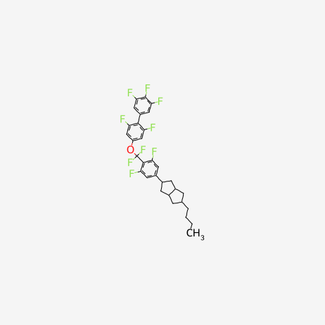 CCCCC1CC2CC(c3cc(F)c(C(F)(F)Oc4cc(F)c(-c5cc(F)c(F)c(F)c5)c(F)c4)c(F)c3)CC2C1